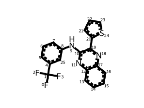 FC(F)(F)c1cccc(Nc2nc3ccccc3nc2-c2cccs2)c1